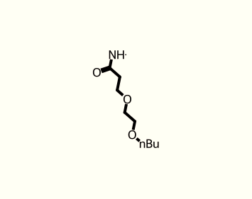 CCCCOCCOCCC([NH])=O